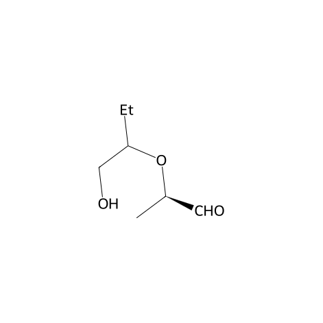 CCC(CO)O[C@H](C)C=O